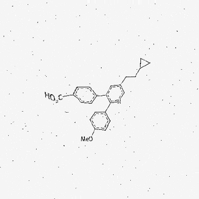 COc1ccc(-c2ncc(CCC3CC3)cc2-c2ccc(C(=O)O)cc2)cc1